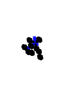 c1ccc(-c2ccc3cc(C4=NC(c5ccccc5)NC(c5ccccc5-c5cccc(-n6c7ccccc7c7ccc8ccccc8c76)c5)=N4)ccc3c2)cc1